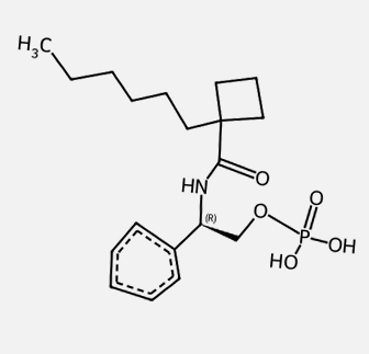 CCCCCCC1(C(=O)N[C@@H](COP(=O)(O)O)c2ccccc2)CCC1